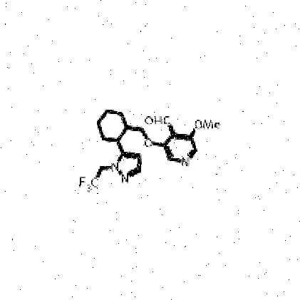 COc1cncc(OCC2CCCCC2c2ccnn2CC(F)(F)F)c1C=O